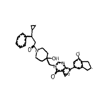 O=C(CC(c1ccccc1)C1CC1)N1CCC(O)(Cn2cnc3c(-c4cc(Cl)c5c(c4)C[CH]C5)scc3c2=O)CC1